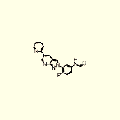 O=CNc1ccc(F)c(-n2cc3cc(-c4ccccn4)cnc3n2)c1